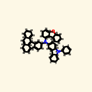 c1ccc(-n2c3ccccc3c3cc(N(c4ccc5c(c4)-c4c6ccccc6cc6cccc-5c46)c4cccc5oc6ccccc6c45)ccc32)cc1